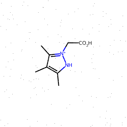 Cc1[nH][n+](CC(=O)O)c(C)c1C